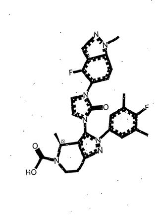 Cc1cc(-n2nc3c(c2-n2ccn(-c4ccc5c(cnn5C)c4F)c2=O)[C@H](C)N(C(=O)O)CC3)cc(C)c1F